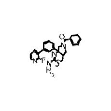 NC1=NC2(c3cccc(-c4cccnc4F)c3)CN(C(=O)c3ccccc3)CC2CS1